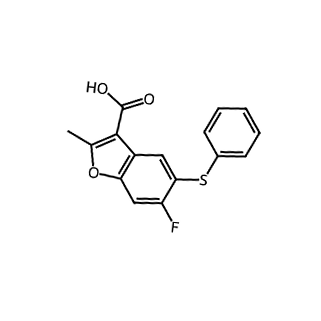 Cc1oc2cc(F)c(Sc3ccccc3)cc2c1C(=O)O